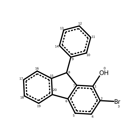 Oc1c(Br)ccc2c1C(c1ccccc1)c1ccccc1-2